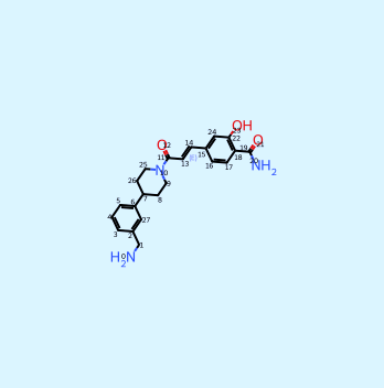 NCc1cccc(C2CCN(C(=O)/C=C/c3ccc(C(N)=O)c(O)c3)CC2)c1